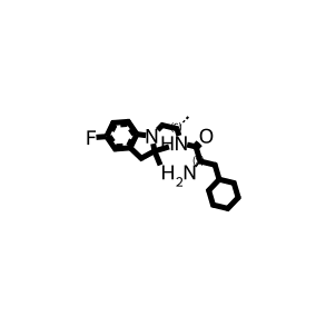 C[C@@H](CN1c2ccc(F)cc2CC1(C)C)NC(=O)[C@@H](N)CC1CCCCC1